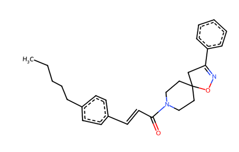 CCCCCc1ccc(C=CC(=O)N2CCC3(CC2)CC(c2ccccc2)=NO3)cc1